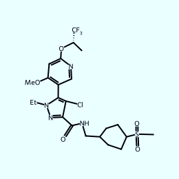 CCn1nc(C(=O)NCC2CCC(S(C)(=O)=O)CC2)c(Cl)c1-c1cnc(O[C@@H](C)C(F)(F)F)cc1OC